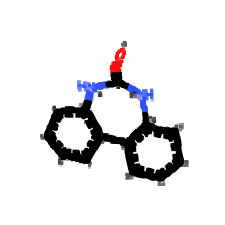 O=C1Nc2ccccc2-c2ccccc2N1